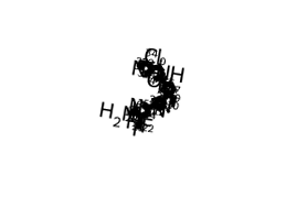 C[C@H](NC(=O)N1CCC2(CCn3nc(-c4cnc(N)c(C(F)(F)F)c4)cc32)C1)c1ccncc1Cl